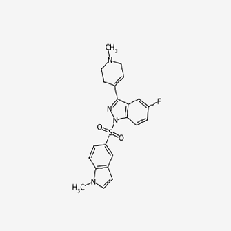 CN1CC=C(c2nn(S(=O)(=O)c3ccc4c(ccn4C)c3)c3ccc(F)cc23)CC1